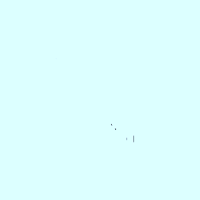 CN1CCC(C#CI)CC1